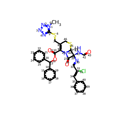 Cn1nnnc1SCC1=C(C(=O)OC(c2ccccc2)c2ccccc2)N2C(=O)[C@](N=CC(Cl)=Cc3ccccc3)(NC=O)[C@@H]2SC1